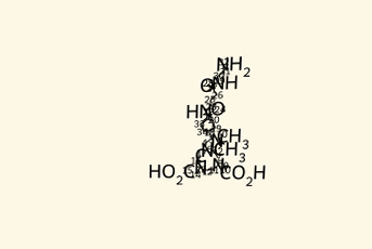 CN(C)C(CN1CCN(CC(=O)O)CCN(CC(=O)O)CC1)c1ccc(NC(=O)CCC(=O)NCCN)cc1